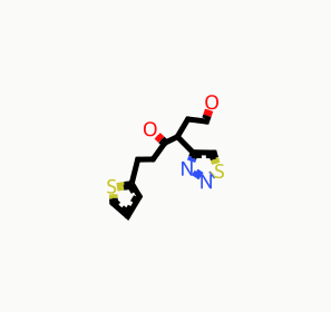 O=CCC(C(=O)CCc1cccs1)c1csnn1